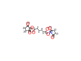 O=C(CCCCC(=O)ON1C(=O)CCC1=O)OC1C(=O)CCC1=O